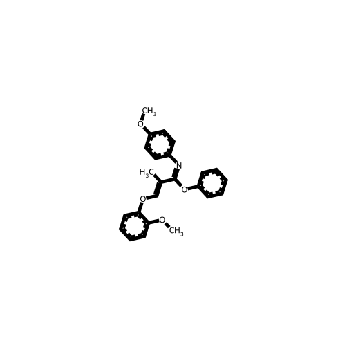 COc1ccc(/N=C(Oc2ccccc2)\C(C)=C\Oc2ccccc2OC)cc1